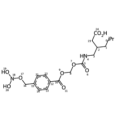 CC(C)CC(CNC(=O)OCOC(=O)c1ccc(CON(O)O)cc1)CC(=O)O